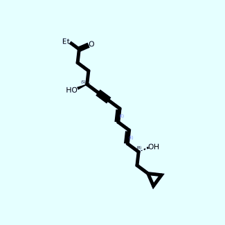 CCC(=O)CC[C@H](O)C#C/C=C/C=C/[C@H](O)CC1CC1